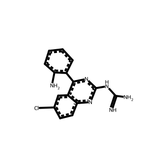 N=C(N)Nc1nc(-c2ccccc2N)c2cc(Cl)ccc2n1